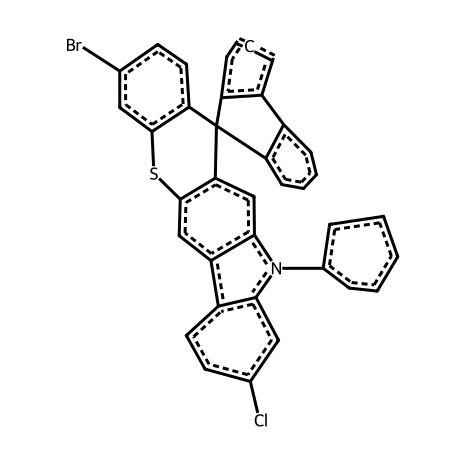 Clc1ccc2c3cc4c(cc3n(-c3ccccc3)c2c1)C1(c2ccc(Br)cc2S4)c2ccccc2-c2ccccc21